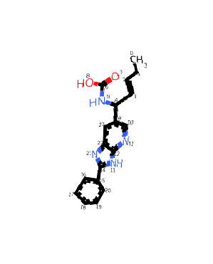 C[CH]/C=C/C(NC(=O)O)c1cnc2[nH]c(-c3ccccc3)nc2c1